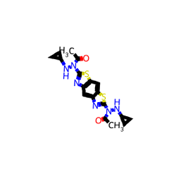 CC(=O)N(NC1CC1)c1nc2cc3nc(N(NC4CC4)C(C)=O)sc3cc2s1